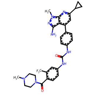 CN1CCN(C(=O)c2ccc(NC(=O)Nc3ccc(-c4cc(C5CC5)nc5c4c(N)nn5C)cc3)cc2C(F)(F)F)CC1